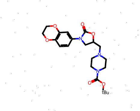 CC(C)(C)OC(=O)N1CCN(CC2CN(c3ccc4c(c3)OCCO4)C(=O)O2)CC1